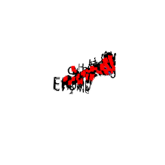 C=CC(=O)N1CC=C(c2c(-c3ccc(Oc4cccc(CC)n4)c(OC)c3)c3c(N)ncnc3n2Cc2cc(C)nc(Oc3ccc(-c4c(C5CCN(C(=O)C(=C)C)C5)n(Cc5cc(C)nc(Oc6ccc(-c7c(C8CCN(C(=O)/C=C/C)C8)n(C)c8ncnc(N)c78)cc6)c5)c5ncnc(N)c45)cc3)c2)CC1